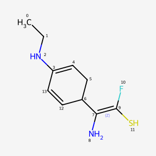 CCNC1=CCC(/C(N)=C(\F)S)C=C1